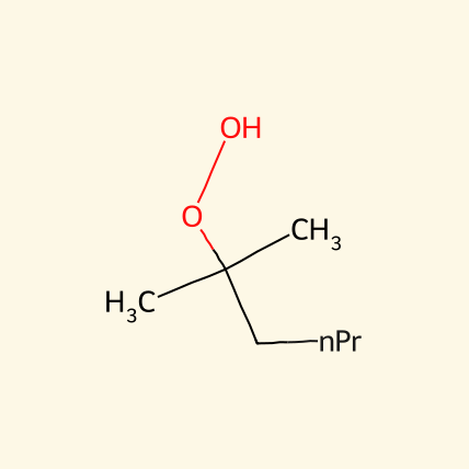 CCCCC(C)(C)OO